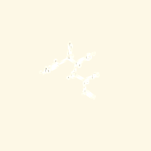 C=CC(F)OC(=O)C(=C)C#N